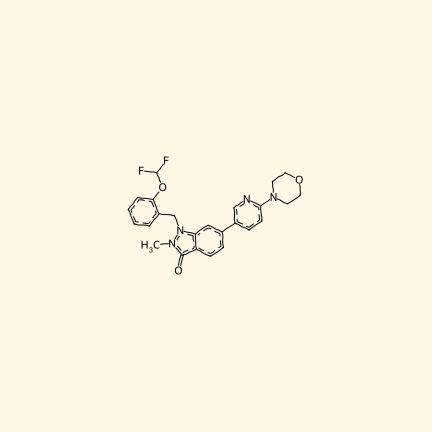 Cn1c(=O)c2ccc(-c3ccc(N4CCOCC4)nc3)cc2n1Cc1ccccc1OC(F)F